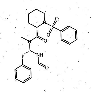 CN(C(=O)[C@@H]1CCCCN1S(=O)(=O)c1ccccc1)[C@@H](Cc1ccccc1)NC=O